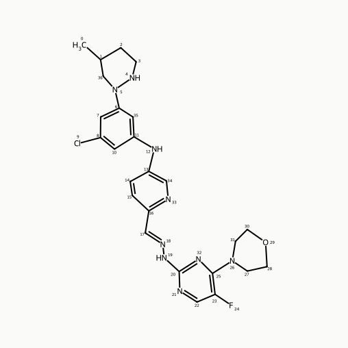 CC1CCNN(c2cc(Cl)cc(Nc3ccc(/C=N/Nc4ncc(F)c(N5CCOCC5)n4)nc3)c2)C1